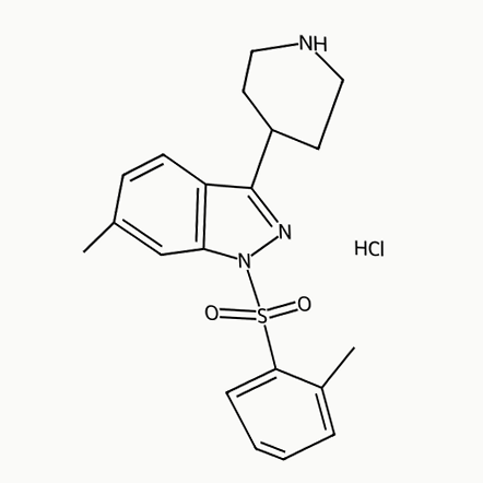 Cc1ccc2c(C3CCNCC3)nn(S(=O)(=O)c3ccccc3C)c2c1.Cl